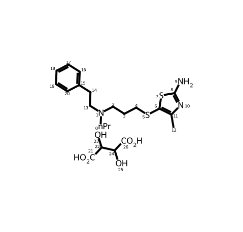 CCCN(CCCSc1sc(N)nc1C)CCc1ccccc1.O=C(O)C(O)C(O)C(=O)O